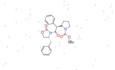 CC(C)(C)OC(=O)N1CCCC1[C@@H](C(=O)N1C(=O)OC[C@H]1Cc1ccccc1)c1ccccc1